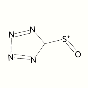 O=[S+]C1N=NN=N1